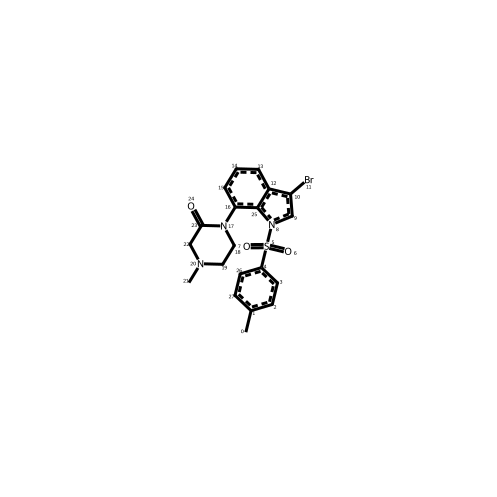 Cc1ccc(S(=O)(=O)n2cc(Br)c3cccc(N4CCN(C)CC4=O)c32)cc1